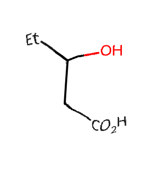 CCC(O)CC(=O)O